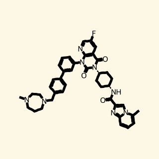 Cc1cccc2nc(C(=O)N[C@H]3CC[C@@H](n4c(=O)c5cc(F)cnc5n(-c5cccc(-c6ccc(CN7CCCN(C)CC7)cc6)c5)c4=O)CC3)cn12